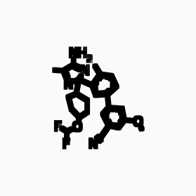 COc1cc(C#N)cc(-c2ccc(C)c(C3(C4CCC(OC(F)F)CC4)N=C(C)C(N)=N3)c2)c1